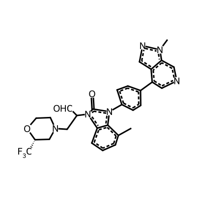 Cc1cccc2c1n(-c1ccc(-c3cncc4c3cnn4C)cc1)c(=O)n2C(C=O)CN1CCO[C@@H](C(F)(F)F)C1